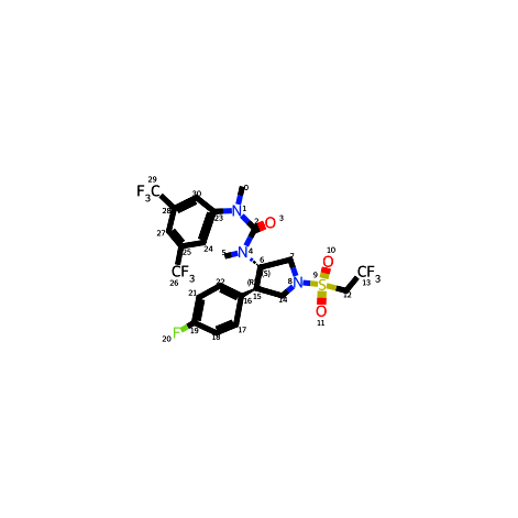 CN(C(=O)N(C)[C@@H]1CN(S(=O)(=O)CC(F)(F)F)C[C@H]1c1ccc(F)cc1)c1cc(C(F)(F)F)cc(C(F)(F)F)c1